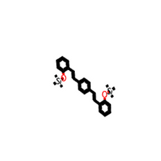 C[Si](C)(C)Oc1ccccc1/C=C/c1ccc(/C=C/c2ccccc2O[Si](C)(C)C)cc1